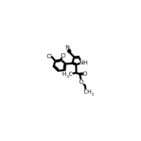 CCOC(=O)C(C)c1[nH]cc(C#N)c1-c1cccc(Cl)c1Cl